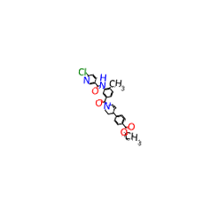 COC(=O)c1ccc(C2CCN(C(=O)c3ccc(C)c(NC(=O)c4ccc(Cl)nc4)c3)CC2)cc1